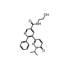 CC(C)n1nc(-c2cc(C(=O)NCCO)cnc2-c2ccccc2)ccc1=O